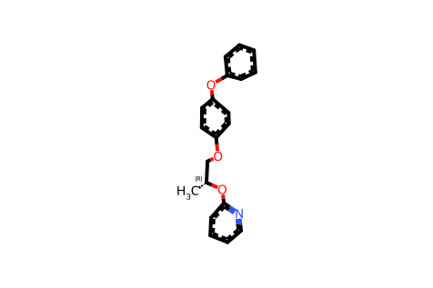 C[C@H](COc1ccc(Oc2ccccc2)cc1)Oc1ccccn1